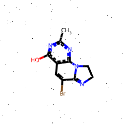 Cc1nc(O)c2c(n1)N1CCN=C1C(Br)=C2